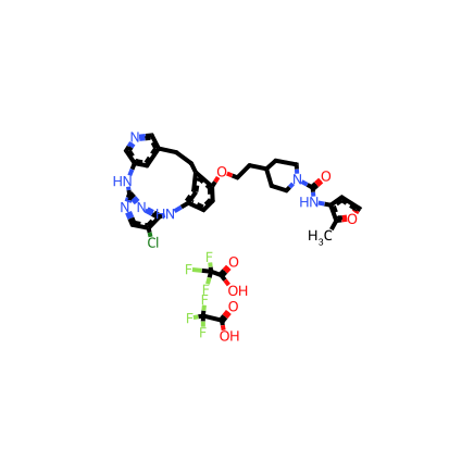 Cc1occc1NC(=O)N1CCC(CCOc2ccc3cc2CCc2cncc(c2)Nc2ncc(Cl)c(n2)N3)CC1.O=C(O)C(F)(F)F.O=C(O)C(F)(F)F